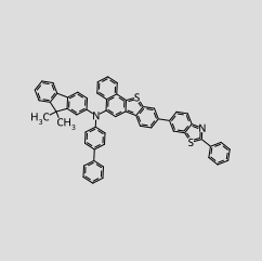 CC1(C)c2ccccc2-c2ccc(N(c3ccc(-c4ccccc4)cc3)c3cc4c5ccc(-c6ccc7nc(-c8ccccc8)sc7c6)cc5sc4c4ccccc34)cc21